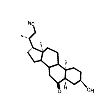 C[C@H](CC#N)[C@H]1CCC2C3CC(=O)[C@@H]4C[C@H](O)CC[C@]4(C)C3CC[C@@]21C